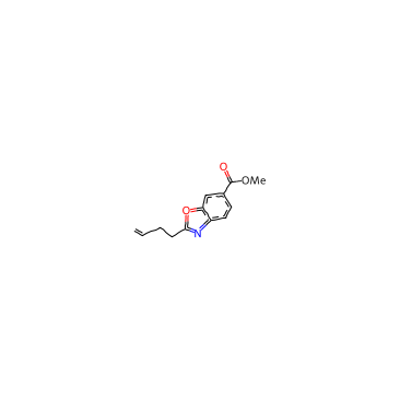 C=CCCc1nc2ccc(C(=O)OC)cc2o1